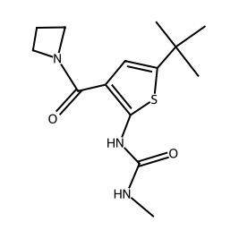 CNC(=O)Nc1sc(C(C)(C)C)cc1C(=O)N1CCC1